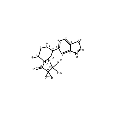 CC1CNC(c2ccc3scnc3c2)CN1C(=O)C1(C(F)(F)F)CC1